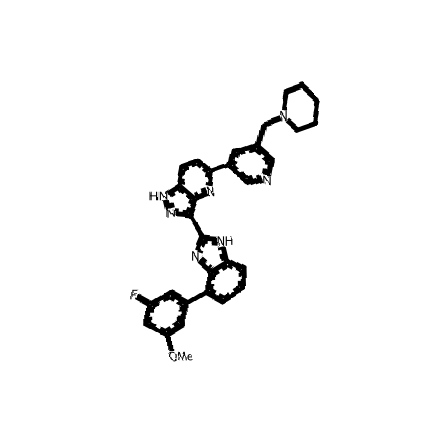 COc1cc(F)cc(-c2cccc3[nH]c(-c4n[nH]c5ccc(-c6cncc(CN7CCCCC7)c6)nc45)nc23)c1